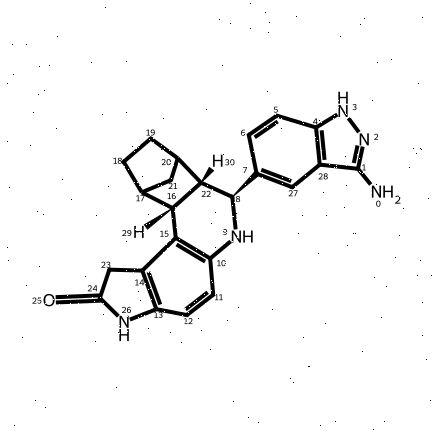 Nc1n[nH]c2ccc([C@H]3Nc4ccc5c(c4[C@@H]4C6CCC(C6)[C@H]34)CC(=O)N5)cc12